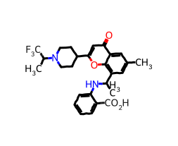 Cc1cc(C(C)Nc2ccccc2C(=O)O)c2oc(C3CCN(C(C)C(F)(F)F)CC3)cc(=O)c2c1